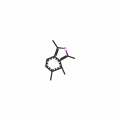 CC1=c2ccc(C)c(C)c2=C(C)[P]1